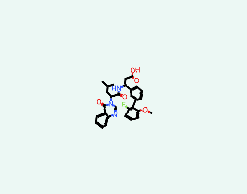 COc1cccc(F)c1-c1cccc(C(CC(=O)O)NC(=O)C(CC(C)C)n2cnc3ccccc3c2=O)c1